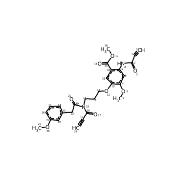 C#CC(=O)Nc1cc(OC)c(OCCCN(C(=O)C#C)C(=O)Cc2cccc(OC)c2)cc1C(=O)OC